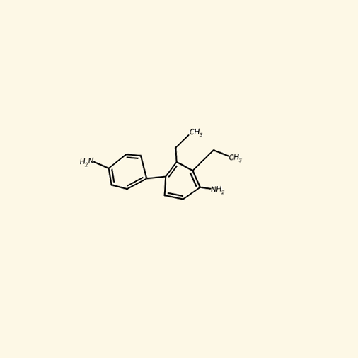 CCc1c(N)ccc(-c2ccc(N)cc2)c1CC